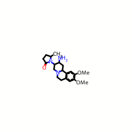 COc1cc2c(cc1OC)C1CC(N)C(N3C(=O)CCC3C)CN1CC2